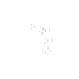 Cc1ccncc1-c1n[nH]c(CCNC(=O)Cn2cnc3ccccc32)n1